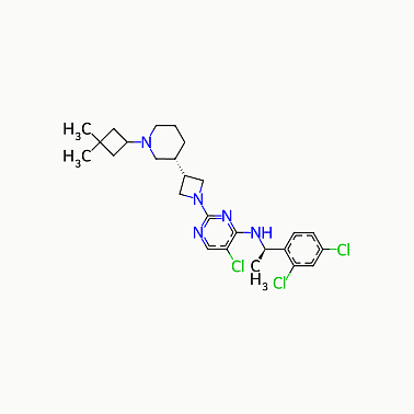 C[C@@H](Nc1nc(N2CC([C@H]3CCCN(C4CC(C)(C)C4)C3)C2)ncc1Cl)c1ccc(Cl)cc1Cl